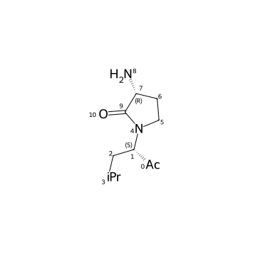 CC(=O)[C@H](CC(C)C)N1CC[C@@H](N)C1=O